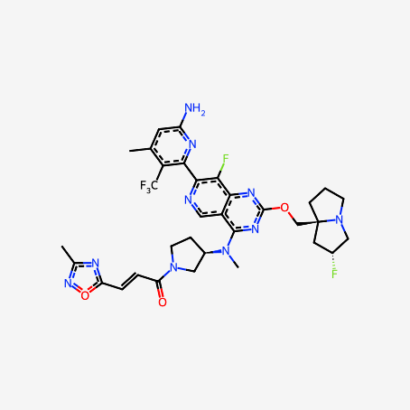 Cc1noc(/C=C/C(=O)N2CC[C@@H](N(C)c3nc(OC[C@@]45CCCN4C[C@H](F)C5)nc4c(F)c(-c5nc(N)cc(C)c5C(F)(F)F)ncc34)C2)n1